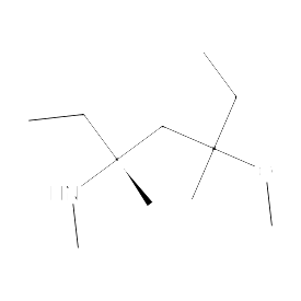 CCC(C)(C[C@@](C)(CC)NC)OC